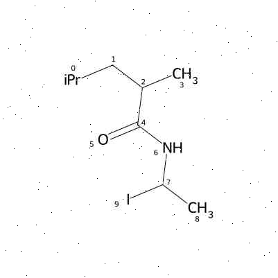 CC(C)CC(C)C(=O)NC(C)I